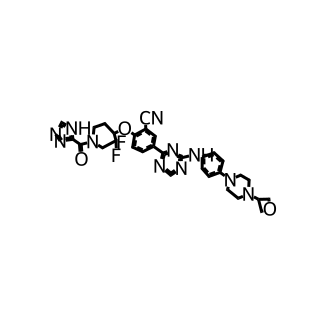 N#Cc1cc(-c2ncnc(Nc3ccc(N4CCN(C5COC5)CC4)cc3)n2)ccc1OC1CCN(C(=O)c2nnc[nH]2)CC1(F)F